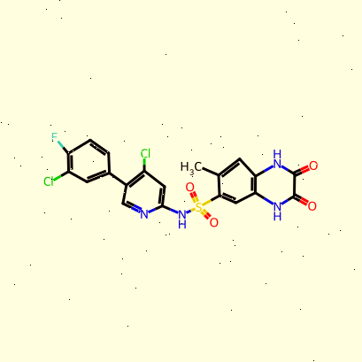 Cc1cc2[nH]c(=O)c(=O)[nH]c2cc1S(=O)(=O)Nc1cc(Cl)c(-c2ccc(F)c(Cl)c2)cn1